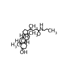 CCCNC(=O)CC[C@@H](C)C1CC[C@H]2[C@@H]3CC[C@]4(C)C[C@H](O)CC[C@]4(C)[C@H]3CC[C@]12C